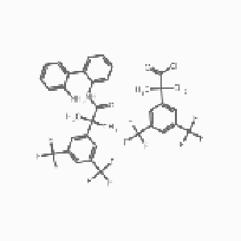 CC(C)(C(=O)Cl)c1cc(C(F)(F)F)cc(C(F)(F)F)c1.CC(C)(C(=O)Nc1ccccc1-c1ccccc1N)c1cc(C(F)(F)F)cc(C(F)(F)F)c1